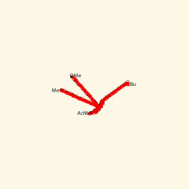 COCCOCCOCCOCCOCCOCCOCCOCCOCCOCCOCCOCCCC1(CCCOCCOCCOCCOCCOCCOCCOCCOCCOCCOCCOCCOC)c2cc(-c3ccc(OCCCCNC(C)=O)cc3)ccc2-c2ccc(-c3ccc(OCCOCCOCCOCCOCCOCCOCCOCCOCCC(=O)OC(C)(C)C)cc3)cc21